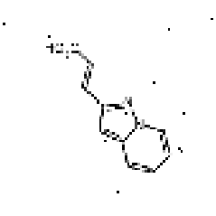 O=C(O)/C=C/c1cc2ccccn2n1